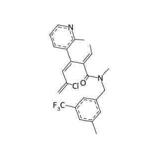 C=C(Cl)/C=C(\C(=C/C)C(=O)N(C)Cc1cc(C)cc(C(F)(F)F)c1)c1cccnc1C